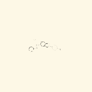 COc1cc2nn(C3CCC(C(C)C)CC3)cc2cc1NC(=O)c1cccnn1